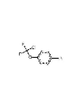 CC(C)c1ccc(OC(F)(F)Cl)cc1